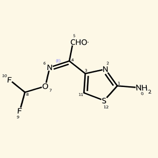 Nc1nc(/C([C]=O)=N\OC(F)F)cs1